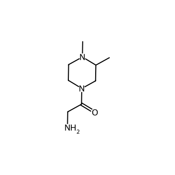 CC1CN(C(=O)CN)CCN1C